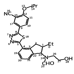 CCC1Cc2c(-c3nnc(-c4ccc(OC(C)C)c(C#N)c4)s3)cccc2C1N(C=O)CCO